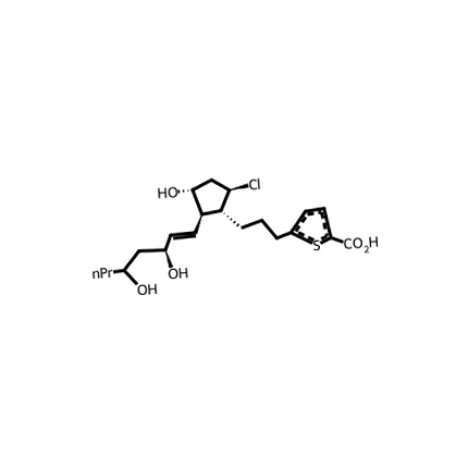 CCCC(O)C[C@H](O)/C=C/[C@@H]1[C@@H](CCCc2ccc(C(=O)O)s2)[C@H](Cl)C[C@H]1O